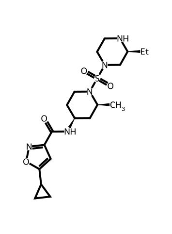 CC[C@H]1CN(S(=O)(=O)N2CC[C@H](NC(=O)c3cc(C4CC4)on3)C[C@@H]2C)CCN1